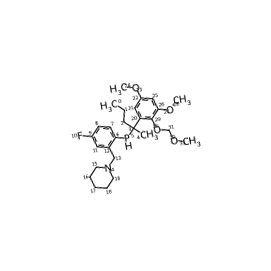 CCCC(C)(Pc1ccc(F)cc1CN1CCCCC1)c1cc(OC)cc(OC)c1OCOC